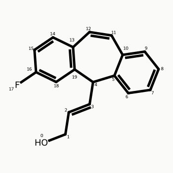 OCC=CC1c2ccccc2C=Cc2ccc(F)cc21